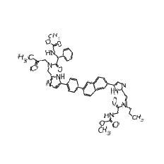 CCCN(Cc1ncc(-c2ccc3cc(-c4ccc(-c5cnc(CN(CC(C)=O)C(=O)C(NC(=O)OC)c6ccccc6)[nH]5)cc4)ccc3c2)[nH]1)C(=O)CNC(=O)OC